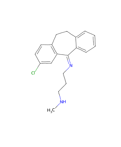 CNCCCN=C1c2ccccc2CCc2ccc(Cl)cc21